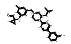 Cc1cc(CN2CCN(c3ncc(-c4cccc(F)c4)cn3)[C@H](CC(C)C)C2)cc(OC2(C=O)CC2)c1